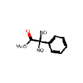 COC(=O)C(N=O)(N=O)c1ccccc1